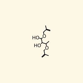 C=C(C)COC(C)C(O)C(O)OCC(=C)C